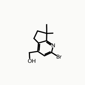 CC1(C)CCc2c(CO)cc(Br)nc21